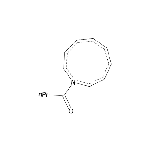 CCCC(=O)n1cccccccc1